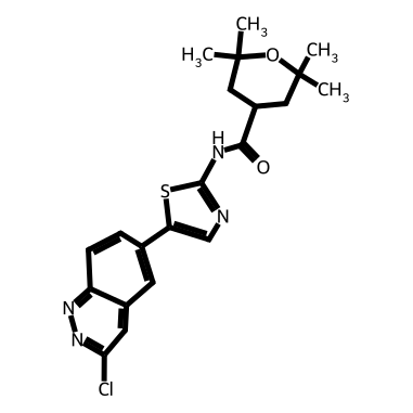 CC1(C)CC(C(=O)Nc2ncc(-c3ccc4nnc(Cl)cc4c3)s2)CC(C)(C)O1